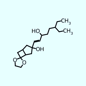 CCC(CC)CCC(O)C=CC1(O)CC2CC3(OCCO3)C2C1